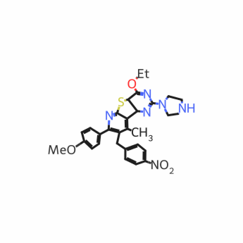 CCOC1=NC(N2CCNCC2)=NC2c3c(nc(-c4ccc(OC)cc4)c(Cc4ccc([N+](=O)[O-])cc4)c3C)SC12